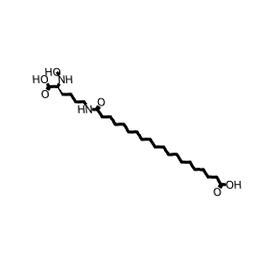 O=C(O)CCCCCCCCCCCCCCCCCCC(=O)NCCCC[C@H](NO)C(=O)O